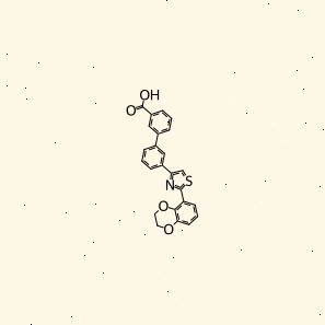 O=C(O)c1cccc(-c2cccc(-c3csc(-c4cccc5c4OCCO5)n3)c2)c1